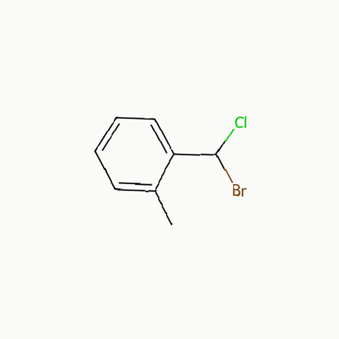 Cc1ccccc1C(Cl)Br